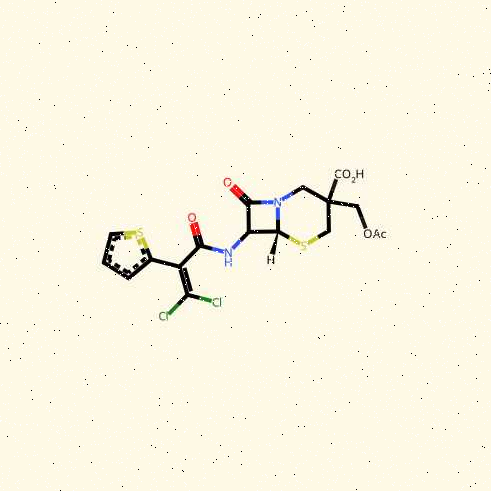 CC(=O)OCC1(C(=O)O)CS[C@@H]2C(NC(=O)C(=C(Cl)Cl)c3cccs3)C(=O)N2C1